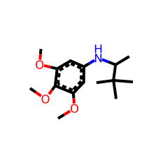 COc1cc(NC(C)C(C)(C)C)cc(OC)c1OC